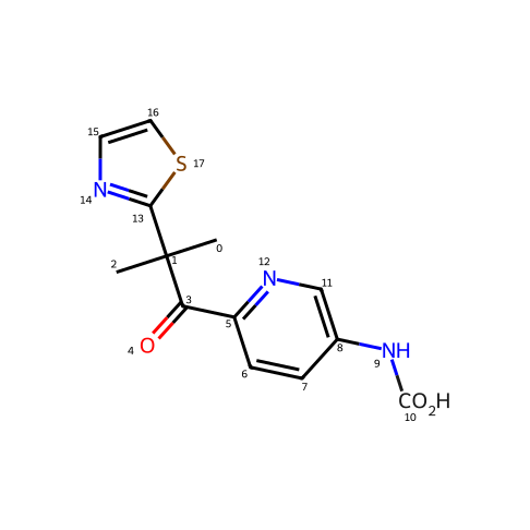 CC(C)(C(=O)c1ccc(NC(=O)O)cn1)c1nccs1